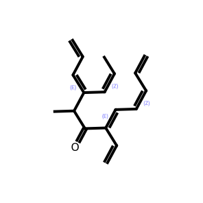 C=C/C=C\C=C(/C=C)C(=O)C(C)C(/C=C\C)=C/C=C